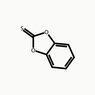 S=c1oc2ccccc2o1